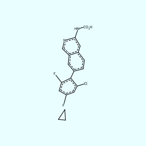 C1CC1.O=C(O)Nc1cc2ccc(-c3c(F)cc(F)cc3Cl)cc2cn1